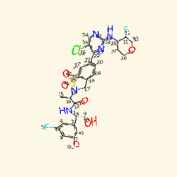 COc1cc(F)cc([C@@H](CO)NC(=O)[C@@H](C)N2Cc3ccc(-c4nc(NC5CCOCC5F)ncc4Cl)cc3S2(=O)=O)c1